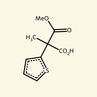 COC(=O)C(C)(C(=O)O)c1cccs1